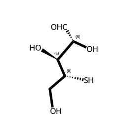 O=C[C@H](O)[C@H](O)[C@H](S)CO